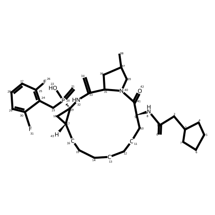 C=C(CC1CCCC1)N[C@H]1CCCCCCC[C@@H]2C[C@@]2(P(=C)(O)Cc2c(F)cccc2F)NC(=C)C2CC(C)CN2C1=O